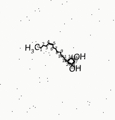 CCCC/C=C\CCCCCCCc1cc(O)cc(O)c1